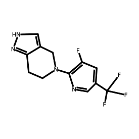 Fc1cc(C(F)(F)F)cnc1N1CCc2n[nH]cc2C1